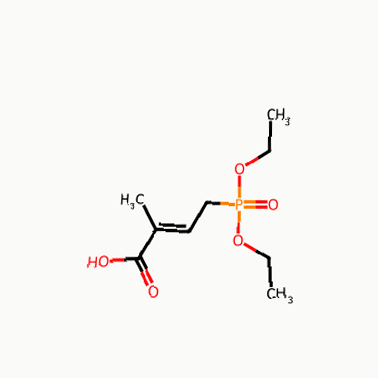 CCOP(=O)(C/C=C(\C)C(=O)O)OCC